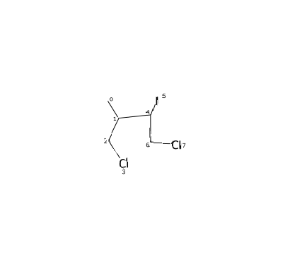 CC(CCl)C(I)CCl